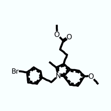 COC(=O)CCc1c(C)n(Cc2ccc(Br)cc2)c2ccc(OC)cc12